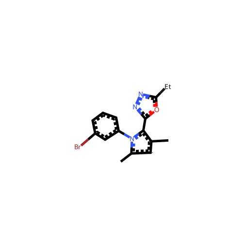 CCc1nnc(-c2c(C)[c]c(C)n2-c2cccc(Br)c2)o1